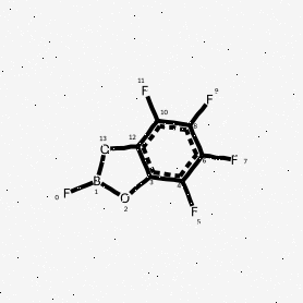 FB1Oc2c(F)c(F)c(F)c(F)c2O1